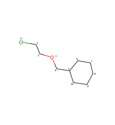 ClCCOCC1CCCCC1